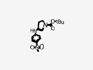 CC(C)(C)OC(=O)N1CCC(Nc2ccc(S(C)(=O)=O)cc2)C1